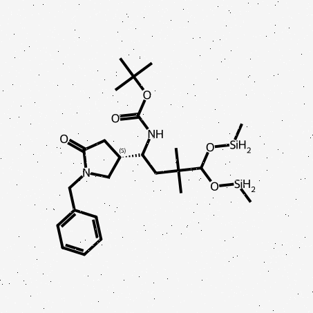 C[SiH2]OC(O[SiH2]C)C(C)(C)CC(NC(=O)OC(C)(C)C)[C@H]1CC(=O)N(Cc2ccccc2)C1